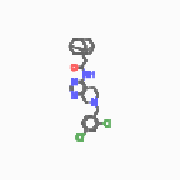 O=C(CC12CC3CC(CC(C3)C1)C2)Nc1ncnc2c1CCN(Cc1ccc(Cl)cc1Cl)C2